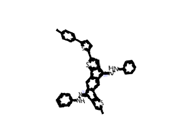 Cc1ccc(-c2ccc(-c3cc4/c(=N\Nc5ccccc5)c5cc6c(cc5c4s3)/c(=N/Nc3ccccc3)c3cc(C)sc36)s2)cc1